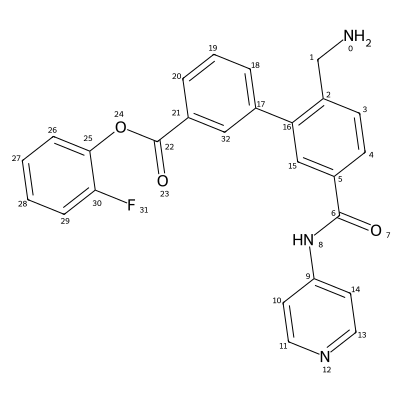 NCc1ccc(C(=O)Nc2ccncc2)cc1-c1cccc(C(=O)Oc2ccccc2F)c1